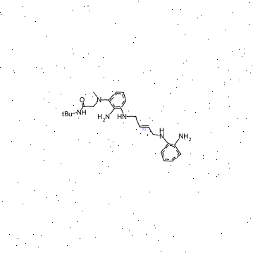 CN(CC(=O)NC(C)(C)C)c1cccc(NC/C=C/CNc2ccccc2N)c1N